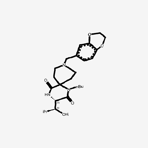 CCCCN1C(=O)[C@H]([C@@H](O)C(C)C)NC(=O)C12CCN(Cc1ccc3c(c1)OCCO3)CC2